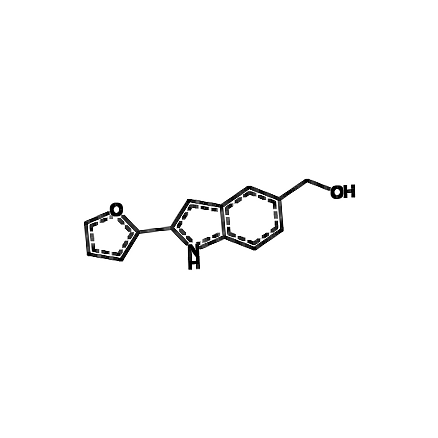 OCc1ccc2[nH]c(-c3ccco3)cc2c1